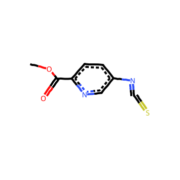 COC(=O)c1ccc(N=C=S)cn1